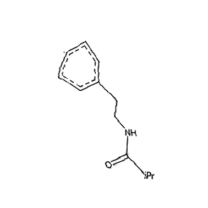 CC(C)C(=O)NCCc1cc[c]cc1